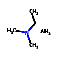 CCN(C)C.[AlH3]